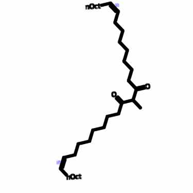 CCCCCCCC/C=C\CCCCCCCC(=O)[C](C)C(=O)CCCCCCC/C=C\CCCCCCCC